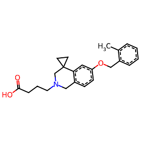 Cc1ccccc1COc1ccc2c(c1)C1(CC1)CN(CCCC(=O)O)C2